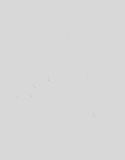 CCC(CO)Oc1cc(Oc2ccc(C(=O)N3CCC3)cc2)cc(C(=O)Nc2ccn(C)n2)c1